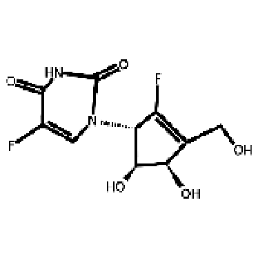 O=c1[nH]c(=O)n([C@@H]2C(F)=C(CO)[C@@H](O)[C@H]2O)cc1F